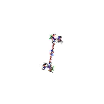 COC(=O)CC(NC(=O)[C@H](Cc1ccc(OCCOCCOCCNC(=O)CCC(=O)NCCOCCOCCOc2ccc(C[C@H](NC(=O)CCCCN(C(=O)OC(C)(C)C)c3ccccn3)C(=O)NC(CC(=O)OC)c3cc(Cl)cc(Cl)c3)cc2)cc1)NC(=O)CCCCN(C(=O)OC(C)(C)C)c1ccccn1)c1cc(Cl)cc(Cl)c1